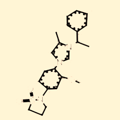 COc1cc(N2CCCS2(=O)=O)ccc1-n1cc(C)[n+](C(C)c2ccccc2)c1